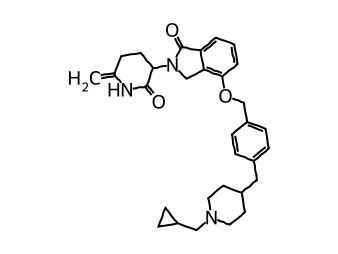 C=C1CCC(N2Cc3c(OCc4ccc(CC5CCN(CC6CC6)CC5)cc4)cccc3C2=O)C(=O)N1